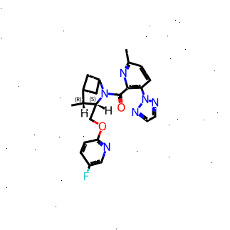 Cc1ccc(-n2nccn2)c(C(=O)N2C3CC(C3)[C@@H](C)[C@H]2COc2ccc(F)cn2)n1